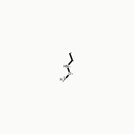 CCNOP